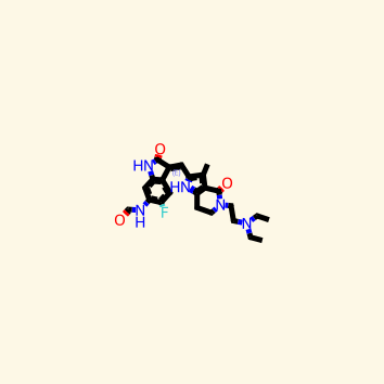 CCN(CC)CCN1CCc2[nH]c(/C=C3/C(=O)Nc4cc(NC=O)c(F)cc43)c(C)c2C1=O